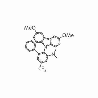 COc1ccc2c(c1)c1cc(OC)ccc1n2-c1c(-c2ccccc2)cc(C(F)(F)F)cc1N(C)C